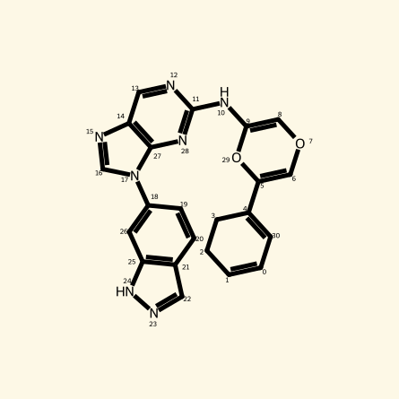 C1=CCCC(C2=COC=C(Nc3ncc4ncn(-c5ccc6cn[nH]c6c5)c4n3)O2)=C1